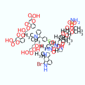 CC(C)C[C@H]1C(=O)N2CCC[C@H]2[C@]2(O)O[C@](NC(=O)[C@@H]3C=C4c5cccc6[nH]c(Br)c(c56)C[C@H]4N(C)C3)(C(C)C)C(=O)N12.CC(C)n1c(/C=C/[C@@H](O)C[C@@H](O)CC(=O)O)c(-c2ccc(F)cc2)c2ccccc21.CC1(C)O[C@@H]2[C@@H](CO[C@@]3(COS(N)(=O)=O)OC(C)(C)O[C@@H]23)O1.O=C(O)c1cc(=O)c2c(OCC(O)COc3cccc4oc(C(=O)O)cc(=O)c34)cccc2o1